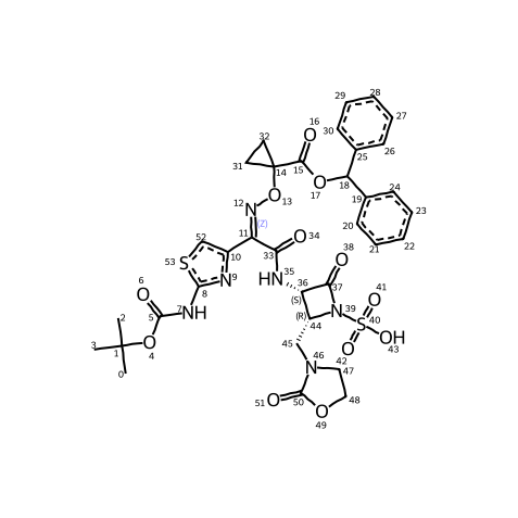 CC(C)(C)OC(=O)Nc1nc(/C(=N/OC2(C(=O)OC(c3ccccc3)c3ccccc3)CC2)C(=O)N[C@@H]2C(=O)N(S(=O)(=O)O)[C@@H]2CN2CCOC2=O)cs1